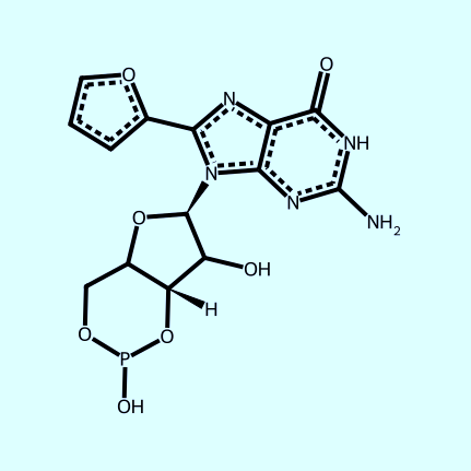 Nc1nc2c(nc(-c3ccco3)n2[C@@H]2OC3COP(O)O[C@H]3C2O)c(=O)[nH]1